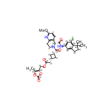 COc1ccc2c(n1)CCN(C(=O)[C@H]1C[C@@H](CC(=O)OCc3oc(=O)oc3C)C1)[C@H]2C(=O)Nc1cc(F)c2c(c1)CCC2(C)C